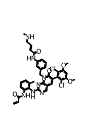 C=CC(=O)Nc1cccc(C)c1Nc1ncc2cc(-c3c(Cl)c(OC)cc(OC)c3Cl)c(=O)n(Cc3cccc(NC(=O)/C=C/CNC)c3)c2n1